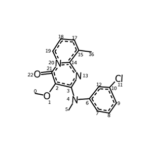 COc1c(N(C)c2cccc(Cl)c2)nc2c(C)cccn2c1=O